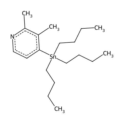 CCC[CH2][Sn]([CH2]CCC)([CH2]CCC)[c]1ccnc(C)c1C